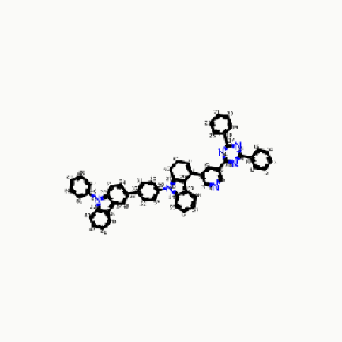 C1=C(c2cncc(-c3nc(-c4ccccc4)nc(-c4ccccc4)n3)c2)c2c(n(-c3ccc(-c4ccc5c(c4)c4ccccc4n5-c4ccccc4)cc3)c3ccccc23)CC1